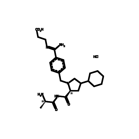 C[C@H](N)C(=O)NC(=O)[C@@H]1CC(C2CCCCC2)CN1Cc1ccc(C(N)=NCCC(=O)O)cc1.Cl